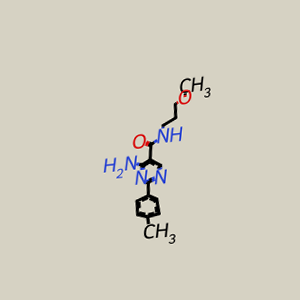 COCCCNC(=O)c1cnc(-c2ccc(C)cc2)nc1N